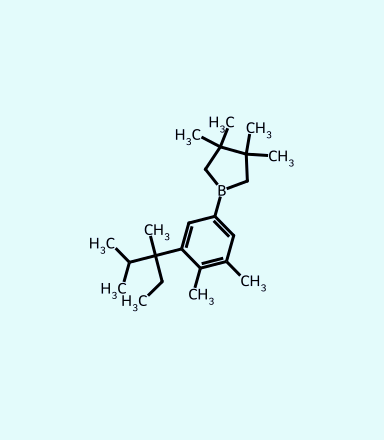 CCC(C)(c1cc(B2CC(C)(C)C(C)(C)C2)cc(C)c1C)C(C)C